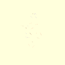 CC(C)(C)[C@@H]1Cn2nc(-c3ccc(F)cc3)c(-c3ccc(F)cc3)c2-c2cc(=O)c(-c3ncn[nH]3)cn21